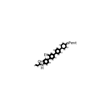 C=CC(O)Nc1ccc(-c2ccc(-c3ccc(C4CCC(CCCCC)CC4)cc3)cc2CC)cc1